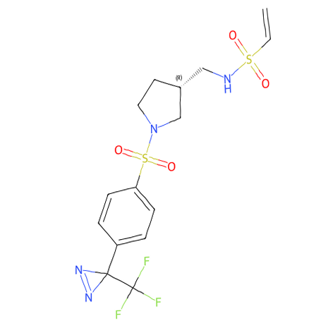 C=CS(=O)(=O)NC[C@H]1CCN(S(=O)(=O)c2ccc(C3(C(F)(F)F)N=N3)cc2)C1